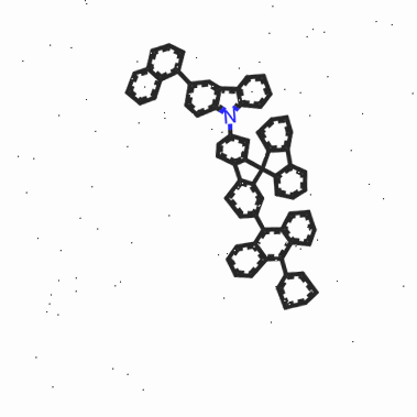 c1ccc(-c2c3ccccc3c(-c3ccc4c(c3)C3(c5ccccc5-c5ccccc53)c3cc(-n5c6ccccc6c6cc(-c7cccc8ccccc78)ccc65)ccc3-4)c3ccccc23)cc1